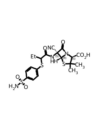 CCC(Sc1ccc(S(N)(=O)=O)cc1)C(=O)N[C@@]1(C#N)C(=O)N2[C@@H](C(=O)O)C(C)(C)S[C@@H]21